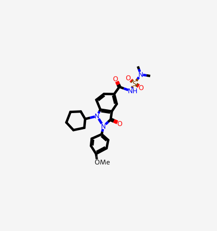 COc1ccc(-n2c(=O)c3cc(C(=O)NS(=O)(=O)N(C)C)ccc3n2C2CCCCC2)cc1